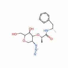 C[C@@H](Cc1ccccc1)NC(=O)[C@@H](C)OC1[C@H](O)C(CO)OC[C@@H]1N=[N+]=[N-]